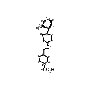 O=C(O)N1CCC(COC2CCC(c3ccncc3F)CC2)CC1